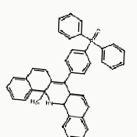 CC12NC3c4ccccc4C=CC3C(c3ccc(P(=O)(c4ccccc4)c4ccccc4)cc3)=C1C=Cc1ccccc12